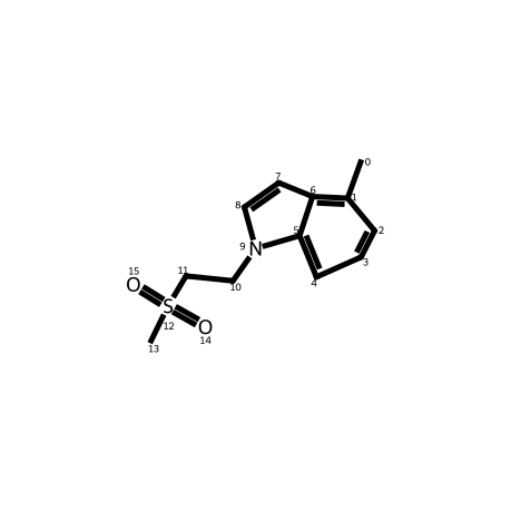 Cc1cccc2c1ccn2CCS(C)(=O)=O